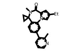 CCc1cc2n(c1)-c1cc(-c3cccnc3C)ccc1C1(CC1)N(C)C2=O